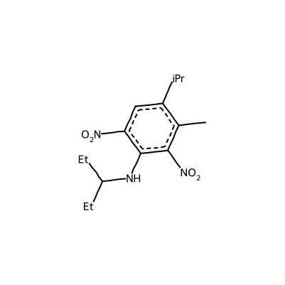 CCC(CC)Nc1c([N+](=O)[O-])cc(C(C)C)c(C)c1[N+](=O)[O-]